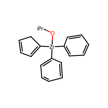 CC(C)[O][Zr]([C]1=CC=CC1)([c]1ccccc1)[c]1ccccc1